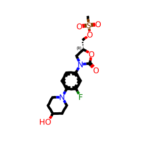 CS(=O)(=O)OC[C@H]1CN(c2ccc(N3CCC(O)CC3)c(F)c2)C(=O)O1